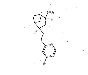 O=C(O)[C@H]1C[C@@H](COc2cc(Br)ncn2)C2CC1C2